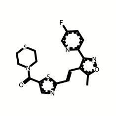 Cc1onc(-c2ccc(F)cn2)c1C=Cc1ncc(C(=O)N2CCSCC2)s1